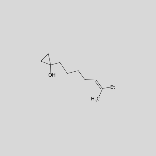 CCC(C)=CCCCCC1(O)CC1